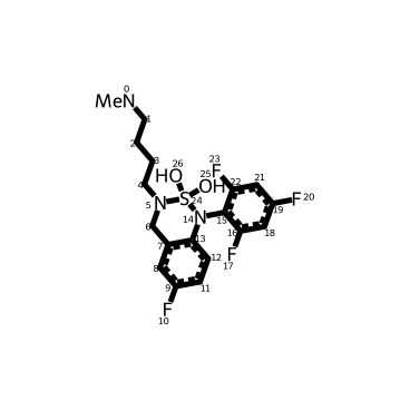 CNCCCCN1Cc2cc(F)ccc2N(c2c(F)cc(F)cc2F)S1(O)O